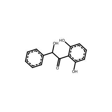 O=C(c1c(O)cccc1O)C(O)c1ccccc1